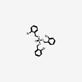 O=P(OCc1ccccc1Br)(OCc1ccccc1Br)OCc1ccccc1Br